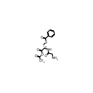 NCC(=O)N[C@@H](CSC(=O)c1ccccc1)C(=O)OC(=O)C(F)(F)F